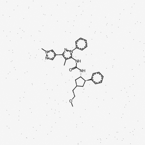 COCCC1C[C@H](NC(=O)Nc2c(C)c(-c3cnn(C)c3)nn2-c2ccccc2)[C@@H](c2ccccc2)C1